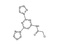 O=C(CCl)Nc1cc(-n2cccn2)nc(-n2cccn2)n1